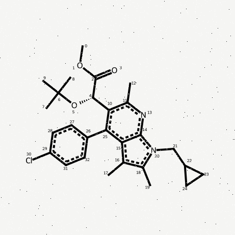 COC(=O)[C@@H](OC(C)(C)C)c1c(C)nc2c(c(C)c(C)n2CC2CC2)c1-c1ccc(Cl)cc1